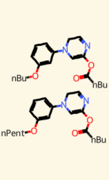 CCCCCOc1cccc(N2C=C(OC(=O)CCCC)N=CC2)c1.CCCCOc1cccc(N2C=C(OC(=O)CCCC)N=CC2)c1